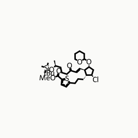 COC(=O)c1ccc(CCC[C@@H]2[C@@H](C=CC(=O)CCC[C@H](C)O[Si](C)(C)C(C)(C)C)[C@H](OC3CCCCO3)C[C@H]2Cl)s1